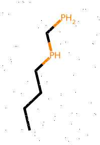 CCCCPCP